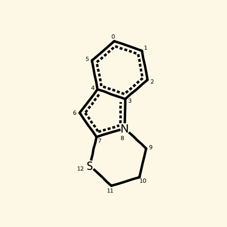 c1ccc2c(c1)cc1n2CCCS1